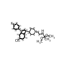 COC(C)(NCCN1CCC(c2cn(-c3ccc(F)cc3)c3cc(Cl)ccc23)CC1)OC